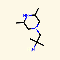 CC1CN(CC(C)(C)N)CC(C)N1